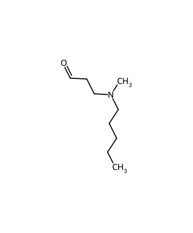 CCCCCN(C)CCC=O